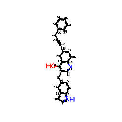 Oc1c(Cc2ccc3[nH]ccc3c2)cnc2ccc(C#CCc3ccccc3)cc12